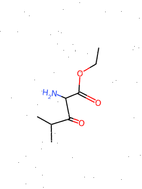 CCOC(=O)C(N)C(=O)C(C)C